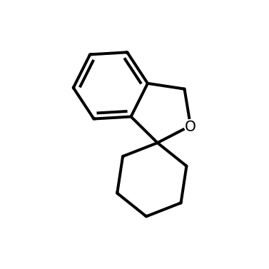 c1ccc2c(c1)COC21CCCCC1